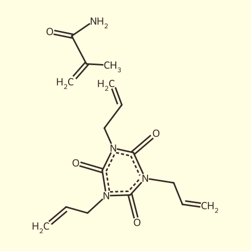 C=C(C)C(N)=O.C=CCn1c(=O)n(CC=C)c(=O)n(CC=C)c1=O